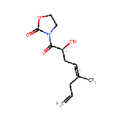 C=CC/C(=C\C[C@H](O)C(=O)N1CCOC1=O)C(F)(F)F